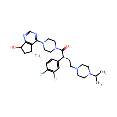 CC(C)N1CCN(CC[C@@H](C(=O)N2CCN(c3ncnc4c3[C@H](C)C[C@H]4O)CC2)c2ccc(Cl)c(Cl)c2)CC1